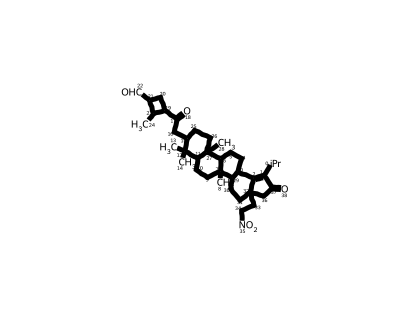 CC(C)C1=C2C3CCC4C(C)(CCC5C(C)(C)C(CC(=O)C6CC(C=O)C6C)CCC54C)C3CCC2(CC[N+](=O)[O-])CC1=O